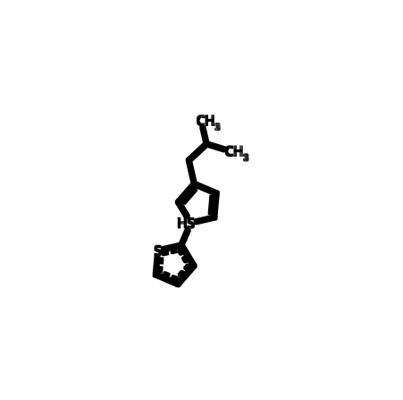 CC(C)CC1=C[SH](c2cccs2)C=C1